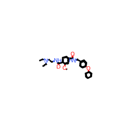 CCN(CC)CCNC(=O)c1ccc(C(=O)NCc2ccc(Oc3ccccc3)cc2)cc1OC